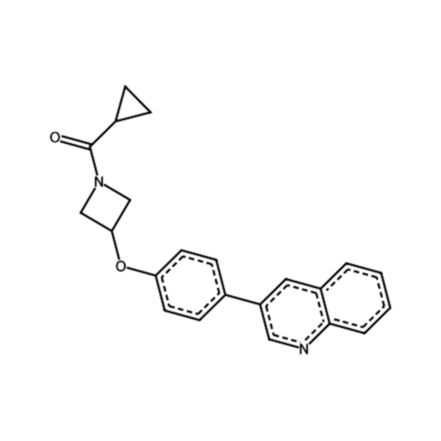 O=C(C1CC1)N1CC(Oc2ccc(-c3cnc4ccccc4c3)cc2)C1